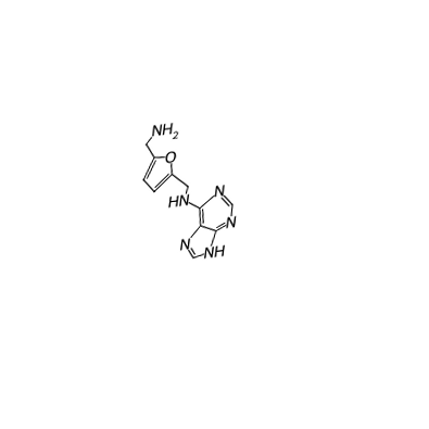 NCc1ccc(CNc2ncnc3[nH]cnc23)o1